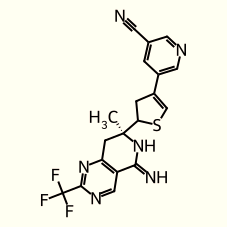 C[C@@]1(C2CC(c3cncc(C#N)c3)=CS2)Cc2nc(C(F)(F)F)ncc2C(=N)N1